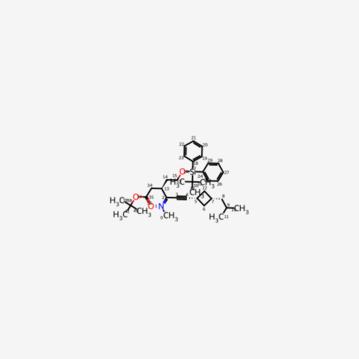 C/N=C(\C#C[C@H]1C[C@@H](CC(C)C)C1)[C@H](CCO[Si](c1ccccc1)(c1ccccc1)C(C)(C)C)CC(=O)OC(C)(C)C